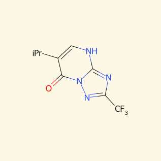 CC(C)c1c[nH]c2nc(C(F)(F)F)nn2c1=O